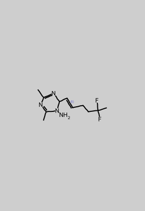 CC1=NC(/C=C/CCC(C)(F)F)N(N)C(C)=N1